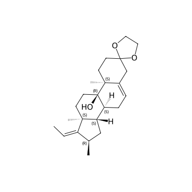 CC=C1[C@H](C)C[C@H]2[C@@H]3CC=C4CC5(CC[C@]4(C)[C@@]3(O)CC[C@]12C)OCCO5